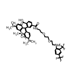 CN(C)c1ccc2c(c1)[Si](C)(C)C1=CC(N(C)C)C=CC1=C2c1cc(C(=O)NCCOCCOCCNc2ccc(C(F)(F)F)cc2C(F)(F)F)ccc1C(=O)O